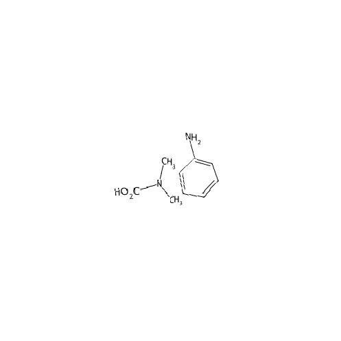 CN(C)C(=O)O.Nc1ccccc1